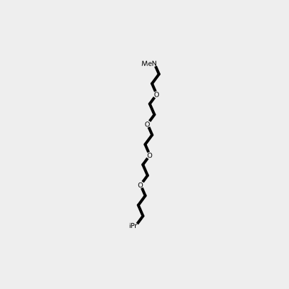 CNCCOCCOCCOCCOCCCC(C)C